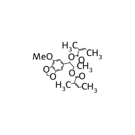 C/C=C(/C)C(=O)O[C@@H](C)[C@@H](OC(=O)/C(C)=C\C)c1cc(OC)c2c(c1)OCO2